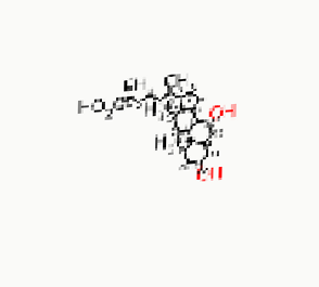 CC(CCCC(C)C1CCC2C3C(CCC12C)C1(C)CCC(O)CC1C[C@H]3O)C(=O)O